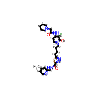 O=C(CN1CCCCC1)Nc1ccn(CCCCc2nnc(C(=O)NCc3cc(C(F)(F)F)ccn3)s2)c(=O)c1F